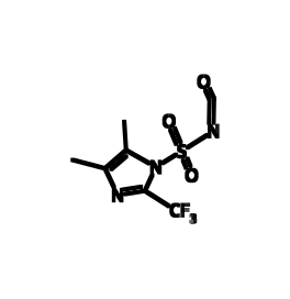 Cc1nc(C(F)(F)F)n(S(=O)(=O)N=C=O)c1C